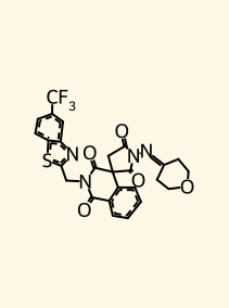 O=C1c2ccccc2C2(CC(=O)N(N=C3CCOCC3)C2=O)C(=O)N1Cc1nc2cc(C(F)(F)F)ccc2s1